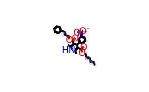 C/C=C/C=C/COC(=O)C1=C(C)NC(C)=C(C(=O)OC/C=C/c2ccccc2)C1c1cccc([N+](=O)[O-])c1